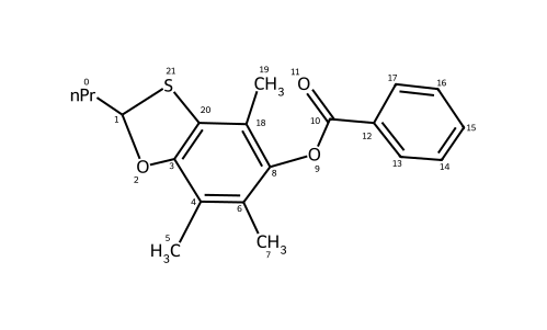 CCCC1Oc2c(C)c(C)c(OC(=O)c3ccccc3)c(C)c2S1